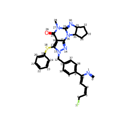 C=N/C(=C\C=C/CF)c1ccc(Cn2nc3c(c2Sc2ccccc2)C(=O)N(C)C2=NC4CCCC4N23)cc1